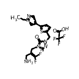 CCn1cc(-c2ccc(Cn3nnn(CC(CN)=C(F)F)c3=O)s2)cn1.O=C(O)C(F)(F)F